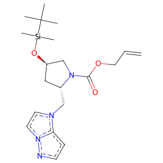 C=CCOC(=O)N1C[C@H](O[Si](C)(C)C(C)(C)C)C[C@H]1Cn1ccn2nccc12